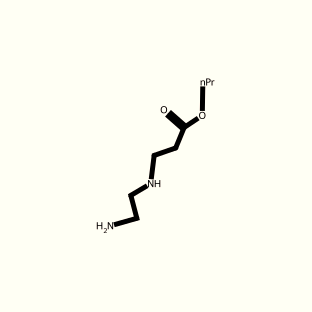 CCCOC(=O)CCNCCN